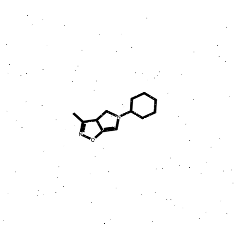 CC1=NOC2=CN(C3CCCCC3)CC21